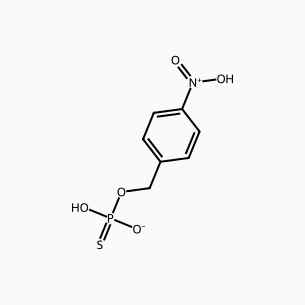 O=[N+](O)c1ccc(COP([O-])(O)=S)cc1